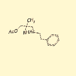 CC(=O)NC(C)(CCCCc1ccccc1)COC(C)=O